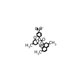 C[C@H]1CC(=O)O[C@H](CC[C@@H]2[C@@H]3C(=C[C@H](C)C[C@@H]3OC(=O)Oc3ccc([N+](=O)[O-])cc3)C=C[C@@H]2C)C1